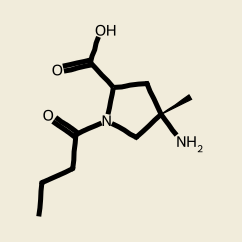 CCCC(=O)N1C[C@@](C)(N)CC1C(=O)O